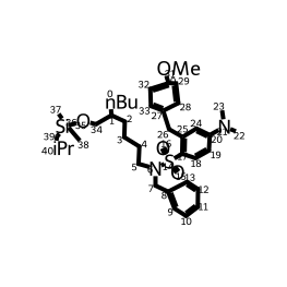 CCCCC(CCCCN(Cc1ccccc1)S(=O)(=O)c1ccc(N(C)C)cc1Cc1ccc(OC)cc1)CO[Si](C)(C)CC(C)C